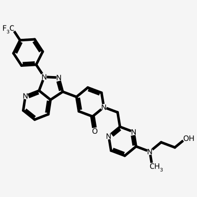 CN(CCO)c1ccnc(Cn2ccc(-c3nn(-c4ccc(C(F)(F)F)cc4)c4ncccc34)cc2=O)n1